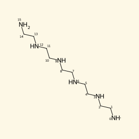 [NH]CCNCCNCCNCCNCCN